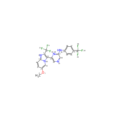 COc1ccc2nc(C(F)(F)F)c(-c3cncc(Nc4ccc(C(F)(F)F)cc4)n3)n2c1